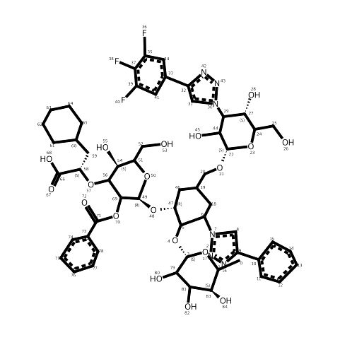 CC1O[C@@H](OC2C(n3cc(-c4ccccc4)nn3)CC(CO[C@H]3OC(CO)[C@@H](O)C(n4cc(-c5cc(F)c(F)c(F)c5)nn4)C3O)C[C@H]2O[C@@H]2OC(CO)[C@H](O)C(O[C@@H](CC3CCCCC3)C(=O)O)C2OC(=O)c2ccccc2)C(O)C(O)[C@@H]1O